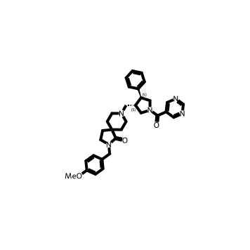 COc1ccc(CN2CCC3(CCN(C[C@H]4CN(C(=O)c5cncnc5)C[C@@H]4c4ccccc4)CC3)C2=O)cc1